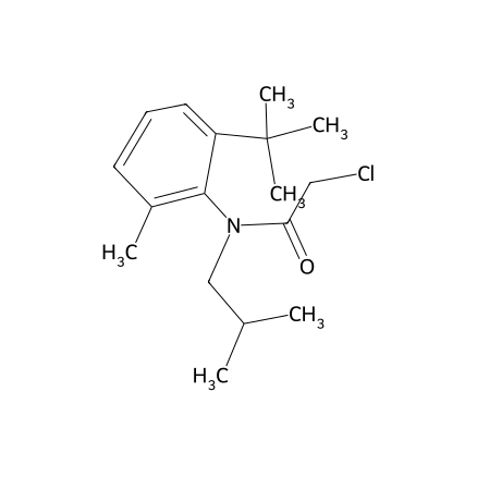 Cc1cccc(C(C)(C)C)c1N(CC(C)C)C(=O)CCl